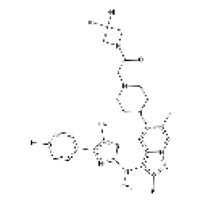 [2H]C1(O)CN(C(=O)CN2CCN(c3cc4c(N(C)c5nc(-c6ccc(F)cc6)c(C#N)s5)c(CC)nn4cc3F)CC2)C1